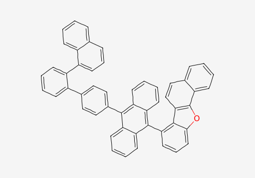 c1ccc(-c2cccc3ccccc23)c(-c2ccc(-c3c4ccccc4c(-c4cccc5oc6c7ccccc7ccc6c45)c4ccccc34)cc2)c1